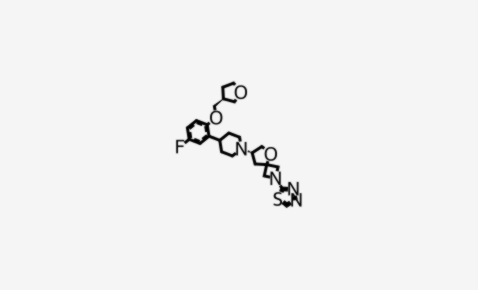 Fc1ccc(OC[C@H]2CCOC2)c(C2CCN([C@@H]3COC4(C3)CN(c3nncs3)C4)CC2)c1